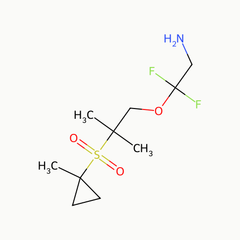 CC(C)(COC(F)(F)CN)S(=O)(=O)C1(C)CC1